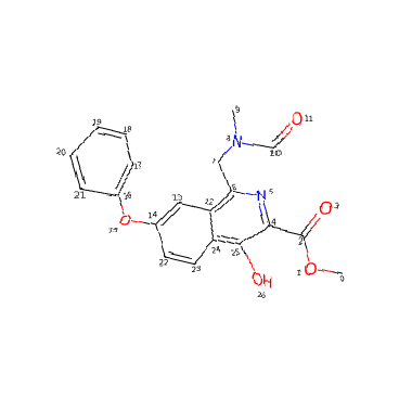 COC(=O)c1nc(CN(C)C=O)c2cc(Oc3ccccc3)ccc2c1O